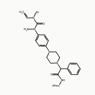 C=CN(C(=O)N(N)c1ccc(N2CCN(C(C(=O)NCCCCC)c3ccccc3)CC2)cc1)C(C)C